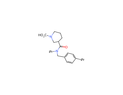 CC(C)c1ccc(CN(C(=O)C2CCCN(C(=O)O)C2)C(C)C)cc1